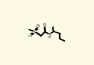 CCCC(C)NC(=O)CS(C)(=O)=O